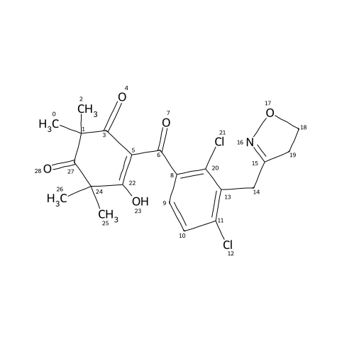 CC1(C)C(=O)C(C(=O)c2ccc(Cl)c(CC3=NOCC3)c2Cl)=C(O)C(C)(C)C1=O